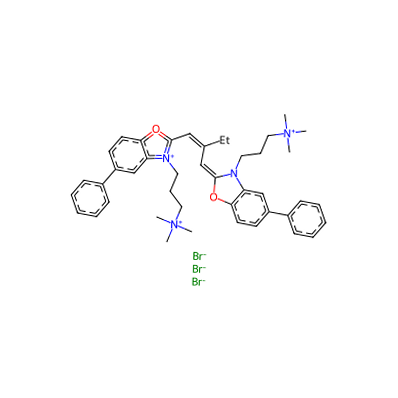 CCC(=Cc1oc2ccc(-c3ccccc3)cc2[n+]1CCC[N+](C)(C)C)C=C1Oc2ccc(-c3ccccc3)cc2N1CCC[N+](C)(C)C.[Br-].[Br-].[Br-]